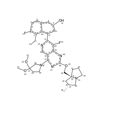 CCc1c(F)ccc2cc(O)cc(-c3ncc4c(N5CCC(OC)(OC)C5)nc(OC[C@@]56CCCN5C[C@H](C)C6)nc4c3F)c12